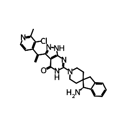 C=C(c1ccnc(C)c1Cl)c1n[nH]c2nc(N3CCC4(CC3)Cc3ccccc3[C@H]4N)[nH]c(=O)c12